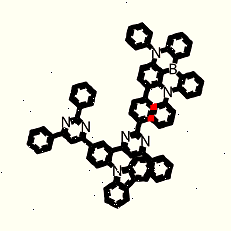 c1ccc(-c2cc(-c3ccc(-n4c5ccccc5c5ccccc54)c(-c4cc(-c5ccccc5)nc(-c5ccc(-c6ccc7c8c6N(c6ccccc6)c6ccccc6B8c6ccccc6N7c6ccccc6)cc5)n4)c3)nc(-c3ccccc3)n2)cc1